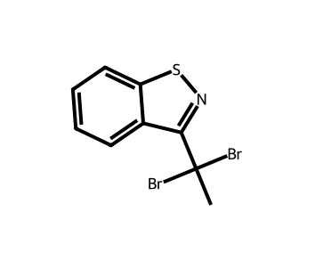 CC(Br)(Br)c1nsc2ccccc12